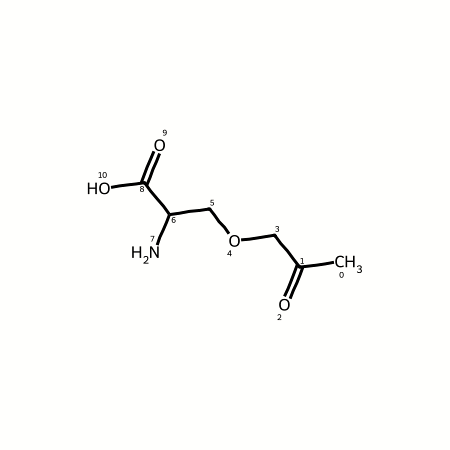 CC(=O)COCC(N)C(=O)O